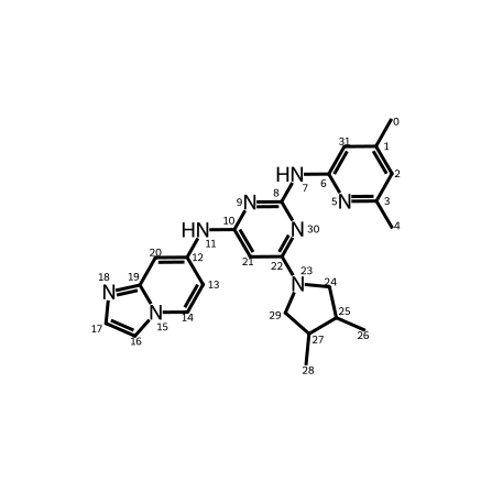 Cc1cc(C)nc(Nc2nc(Nc3ccn4ccnc4c3)cc(N3CC(C)C(C)C3)n2)c1